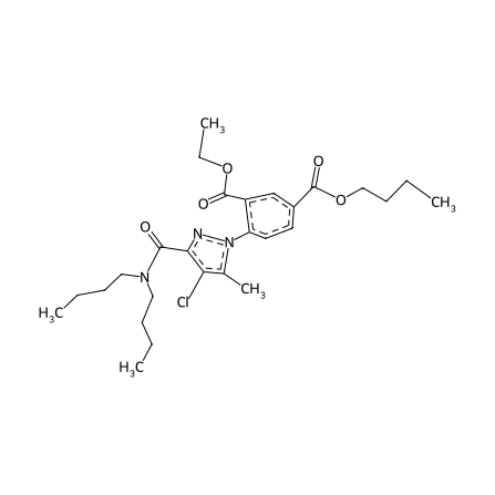 CCCCOC(=O)c1ccc(-n2nc(C(=O)N(CCCC)CCCC)c(Cl)c2C)c(C(=O)OCC)c1